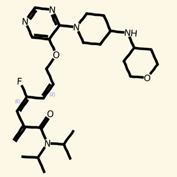 C=C(/C=C(F)\C=C/COc1cncnc1N1CCC(NC2CCOCC2)CC1)C(=O)N(C(C)C)C(C)C